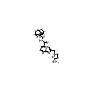 Nc1ccn(Cc2cn3c(C(=O)NCC45CC6CC(CC(C6)C4)C5)cccc3n2)n1